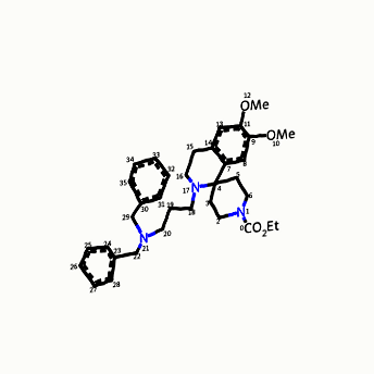 CCOC(=O)N1CCC2(CC1)c1cc(OC)c(OC)cc1CCN2CCCN(Cc1ccccc1)Cc1ccccc1